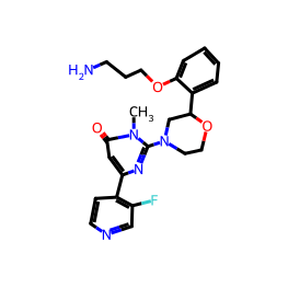 Cn1c(N2CCOC(c3ccccc3OCCCN)C2)nc(-c2ccncc2F)cc1=O